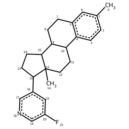 Cc1ccc2c(c1)CCC1C2CCC2(C)C(c3cncc(F)c3)CCC12